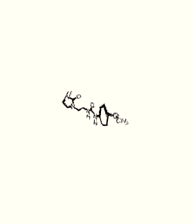 COc1ccc(NC(=O)NCCN2CCNC2=O)cc1